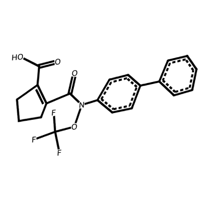 O=C(O)C1=C(C(=O)N(OC(F)(F)F)c2ccc(-c3ccccc3)cc2)CCC1